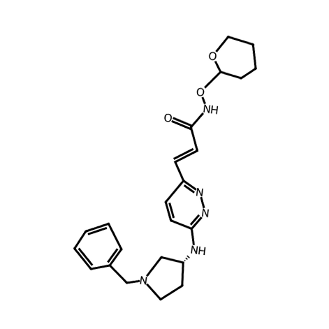 O=C(C=Cc1ccc(N[C@@H]2CCN(Cc3ccccc3)C2)nn1)NOC1CCCCO1